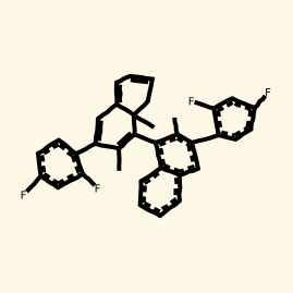 CC1=C(c2c(C)c(-c3ccc(F)cc3F)cc3ccccc23)C2(C)CC=CC=C2C=C1c1ccc(F)cc1F